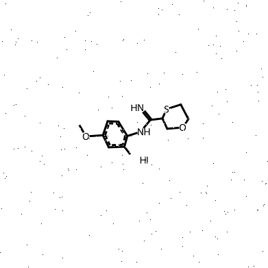 COc1ccc(NC(=N)C2COCCS2)c(C)c1.I